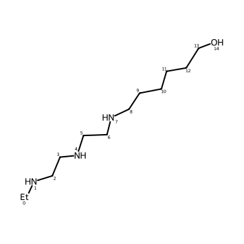 CCNCCNCCNCCCCCCO